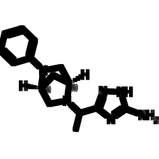 CC(c1n[nH]c(N)n1)N1C[C@@H]2C[C@H]1CN2c1ccccc1